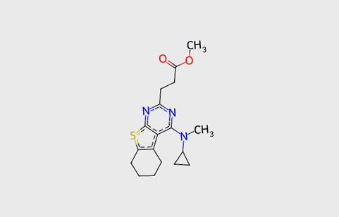 COC(=O)CCc1nc(N(C)C2CC2)c2c3c(sc2n1)CCCC3